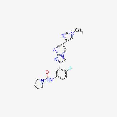 Cn1cnc(-c2cnc3nc(-c4cc(NC(=O)N5CCCC5)ccc4F)cn3c2)c1